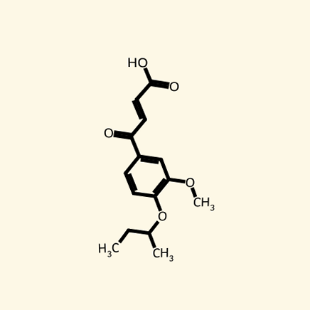 CCC(C)Oc1ccc(C(=O)C=CC(=O)O)cc1OC